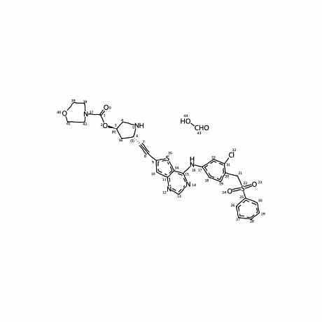 O=C(O[C@H]1CN[C@H](C#Cc2cc3ncnc(Nc4ccc(CS(=O)(=O)c5ccccc5)c(Cl)c4)c3s2)C1)N1CCOCC1.O=CO